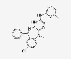 CC1=NC(NC(=S)NC2N=C(c3ccccc3)c3cc(Cl)ccc3N(C)C2=O)=CCC1